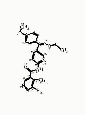 CCON=C(c1ccc(OC)cc1)c1ccc(NC(=O)c2cncc(F)c2C)nc1